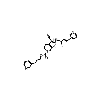 N#Cc1c(NC(=O)C=Cc2cccnc2)sc2c1CCN(C(=O)OCCCc1cccnc1)C2